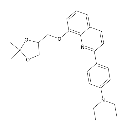 CCN(CC)c1ccc(-c2ccc3cccc(OCC4COC(C)(C)O4)c3n2)cc1